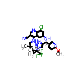 COc1ccc([C@H](Nc2cc(Cl)c3ncc(C#N)c(NCC(C)(C)C)c3c2)c2cn(C3(C(F)(F)F)CC3)nn2)cn1